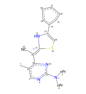 CCCN(CCC)c1ncc(C)c(/C(C#N)=C2/NC(c3ccccc3)=CS2)n1